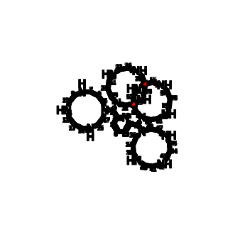 c1cc(C(N2CCCNCCNCCCNCC2)N2CCCNCCNCCCNCC2)nc(C(N2CCCNCCNCCCNCC2)N2CCCNCCNCCCNCC2)c1